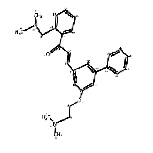 CN(C)CCOc1cc(C=CC(=O)c2ccccc2CN(C)C)cc(-c2ccccc2)c1